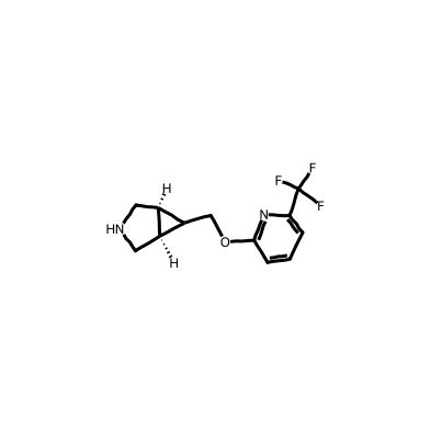 FC(F)(F)c1cccc(OCC2[C@H]3CNC[C@@H]23)n1